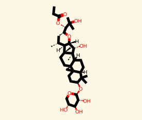 CCC(=O)O[C@@H]([C@H]1C[C@@H](C)[C@H]2[C@H](O1)[C@H](O)[C@@]1(C)[C@@H]3CC[C@H]4C(C)(C)[C@@H](O[C@@H]5OC[C@@H](O)[C@H](O)[C@H]5O)CCC45C[C@@]35CC[C@]21C)C(C)(C)O